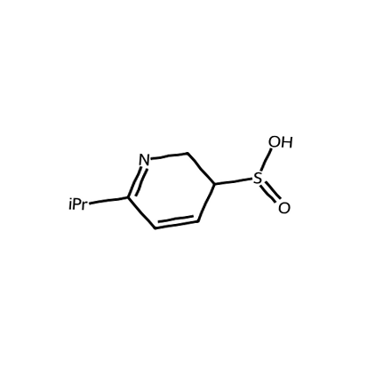 CC(C)C1=NCC(S(=O)O)C=C1